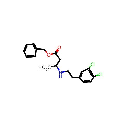 O=C(CC(NCCc1ccc(Cl)c(Cl)c1)C(=O)O)OCc1ccccc1